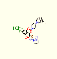 CCN(CC)C1CCN(C(=O)Oc2cc(F)ccc2C=C2SC(N3CCCCN3)=NC2=O)CC1.Cl.Cl